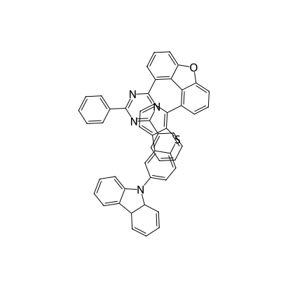 C1=CC2c3ccccc3N(c3ccc4sc5c(-c6cccc7oc8cccc(-c9nc(-c%10ccccc%10)nc(-c%10ccccc%10)n9)c8c67)cccc5c4c3)C2C=C1